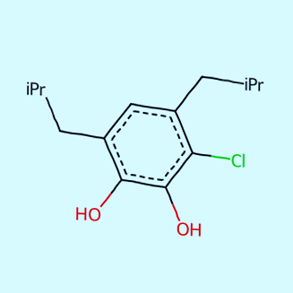 CC(C)Cc1cc(CC(C)C)c(Cl)c(O)c1O